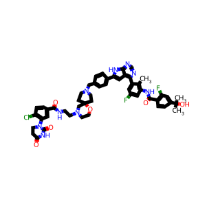 Cc1c(NC(=O)c2ccc(C(C)(C)O)cc2F)cc(F)cc1-c1ncnc2[nH]c(-c3ccc(CN4CCC5(CC4)CN(CCNC(=O)c4ccc(Cl)c(N6CCC(=O)NC6=O)c4)CCO5)cc3)cc12